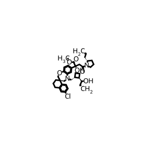 C=CC[C@@H]1CCCN1C(=O)CC(O)(C(=O)OC)c1ccc2c(c1)N(C[C@@H]1CC[C@H]1C(O)C=C)C[C@@]1(CCCc3cc(Cl)ccc31)CO2